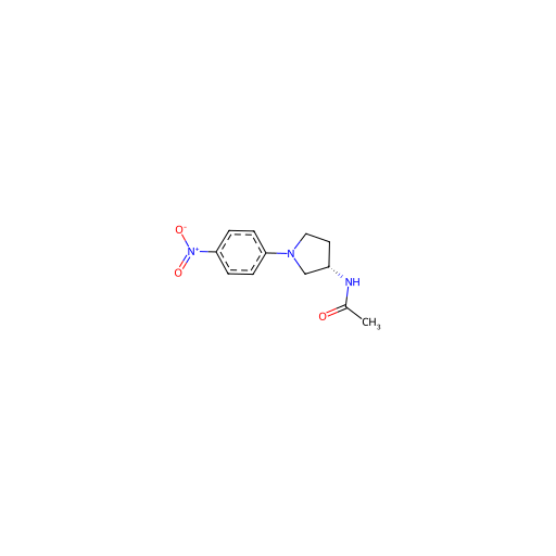 CC(=O)N[C@H]1CCN(c2ccc([N+](=O)[O-])cc2)C1